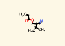 C=CC(=O)OCC(C#N)C(C)C